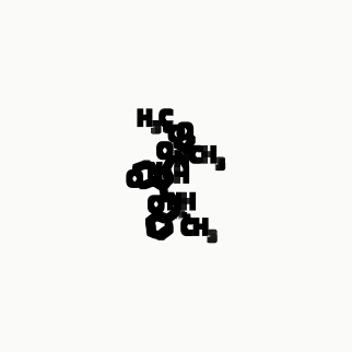 CCOCC(C)(C=O)NC(=O)c1cc(C(=O)N[C@H](CC)c2ccccc2)c2n1CCOC2